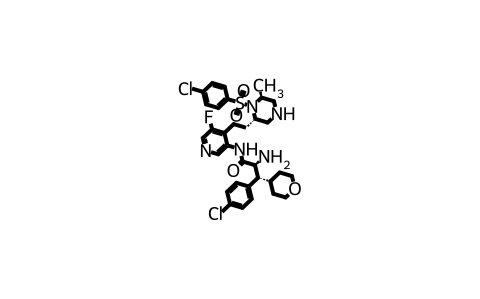 C[C@H]1CNC[C@H](CCc2c(F)cncc2NC(=O)[C@@H](N)[C@@H](c2ccc(Cl)cc2)C2CCOCC2)N1S(=O)(=O)c1ccc(Cl)cc1